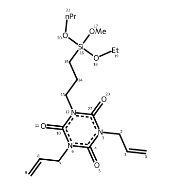 C=CCn1c(=O)n(CC=C)c(=O)n(CCC[Si](OC)(OCC)OCCC)c1=O